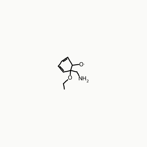 CCOC1(CN)C=CC=CC1[O]